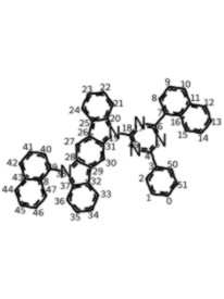 c1ccc(-c2nc(-c3cccc4ccccc34)nc(-n3c4ccccc4c4cc5c(cc43)c3ccccc3n5-c3cccc4ccccc34)n2)cc1